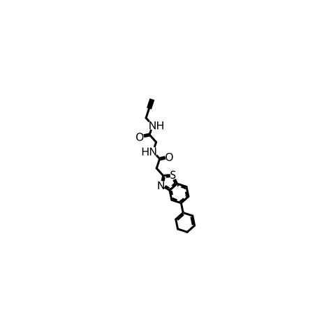 C#CCNC(=O)CNC(=O)Cc1nc2cc(C3=CCCC=C3)ccc2s1